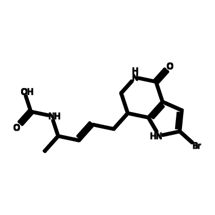 CC(C=CCC1CNC(=O)c2cc(Br)[nH]c21)NC(=O)O